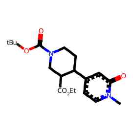 CCOC(=O)C1CN(C(=O)OC(C)(C)C)CCC1c1ccn(C)c(=O)c1